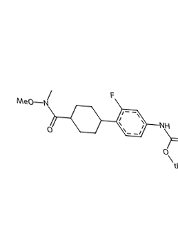 CON(C)C(=O)C1CCC(c2ccc(NC(=O)OC(C)(C)C)cc2F)CC1